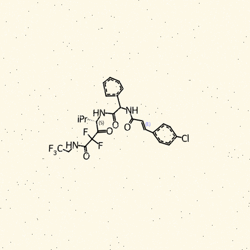 CC(C)[C@H](NC(=O)C(NC(=O)/C=C/c1ccc(Cl)cc1)c1ccccc1)C(=O)C(F)(F)C(=O)NCC(F)(F)F